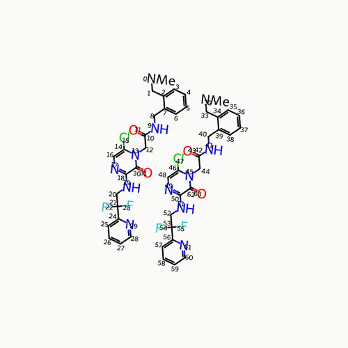 CNCc1ccccc1CNC(=O)Cn1c(Cl)cnc(NCC(F)(F)c2ccccn2)c1=O.CNCc1ccccc1CNC(=O)Cn1c(Cl)cnc(NCC(F)(F)c2ccccn2)c1=O